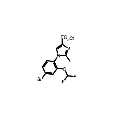 CCOC(=O)c1cn(-c2ccc(Br)cc2OC(F)F)c(C)n1